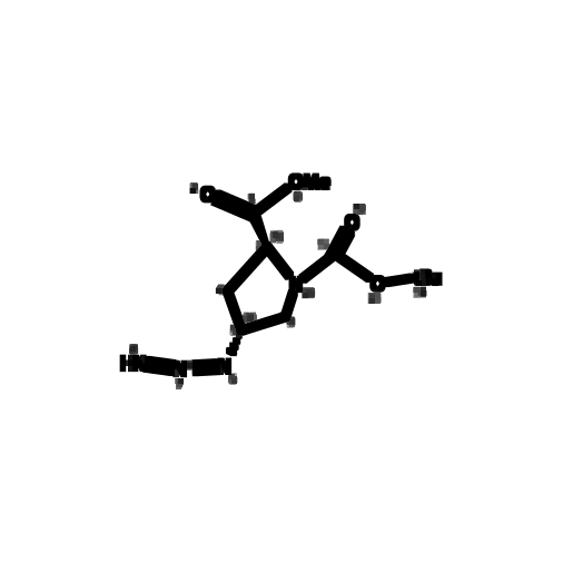 COC(=O)[C@@H]1C[C@@H](N=[N+]=N)CN1C(=O)OC(C)(C)C